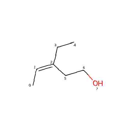 CC=C(CC)CCO